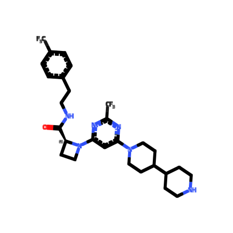 O=C(NCCc1ccc(C(F)(F)F)cc1)[C@@H]1CCN1c1cc(N2CCC(C3CCNCC3)CC2)nc(C(F)(F)F)n1